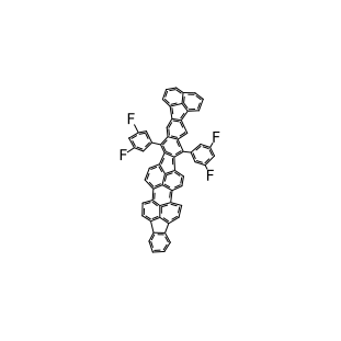 Fc1cc(F)cc(-c2c3cc4c(cc3c(-c3cc(F)cc(F)c3)c3c5ccc6c7ccc8c9c(ccc(c%10ccc(c23)c5c%106)c97)-c2ccccc2-8)c2cccc3cccc4c32)c1